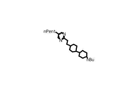 CCCCCc1cnc(CCC2CCC(C3CCC(CCCC)CC3)CC2)nc1